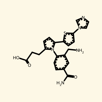 NCc1cc(C(N)=O)ccc1-n1c(CCC(=O)O)ccc1-c1ccc(-n2ccnc2)s1